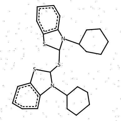 c1ccc2c(c1)SC(SC1Sc3ccccc3N1C1CCCCC1)N2C1CCCCC1